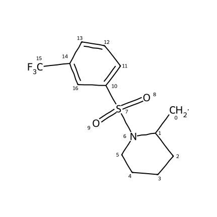 [CH2]C1CCCCN1S(=O)(=O)c1cccc(C(F)(F)F)c1